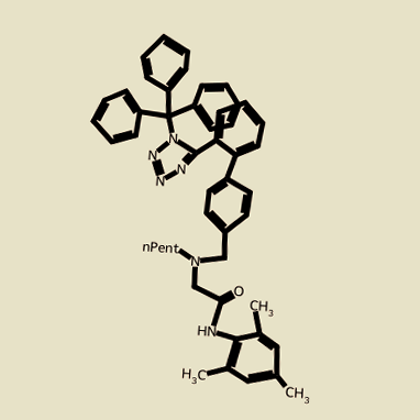 CCCCCN(CC(=O)Nc1c(C)cc(C)cc1C)Cc1ccc(-c2ccccc2-c2nnnn2C(c2ccccc2)(c2ccccc2)c2ccccc2)cc1